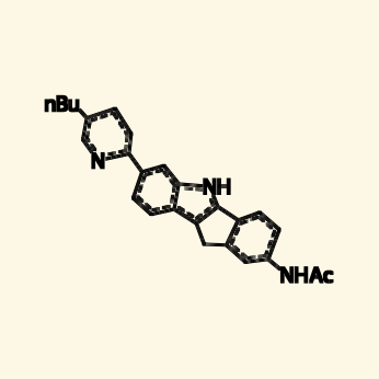 CCCCc1ccc(-c2ccc3c4c([nH]c3c2)-c2ccc(NC(C)=O)cc2C4)nc1